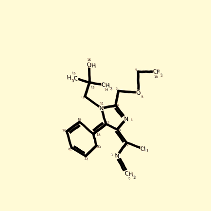 C=N/C(Cl)=c1/nc(COCC(F)(F)F)n(CC(C)(C)O)/c1=C1\C=CC=CC1